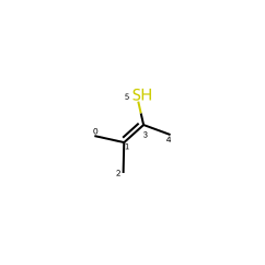 CC(C)=C(C)S